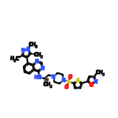 Cc1cc(-c2ccc(S(=O)(=O)N3CCN(C[C@H](C)Nc4ncnc5c(-c6c(C)nn(C)c6C)cccc45)CC3)s2)on1